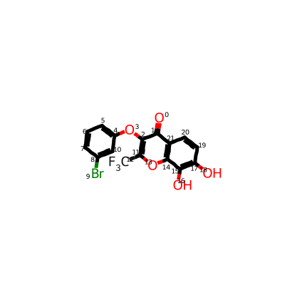 O=c1c(Oc2cccc(Br)c2)c(C(F)(F)F)oc2c(O)c(O)ccc12